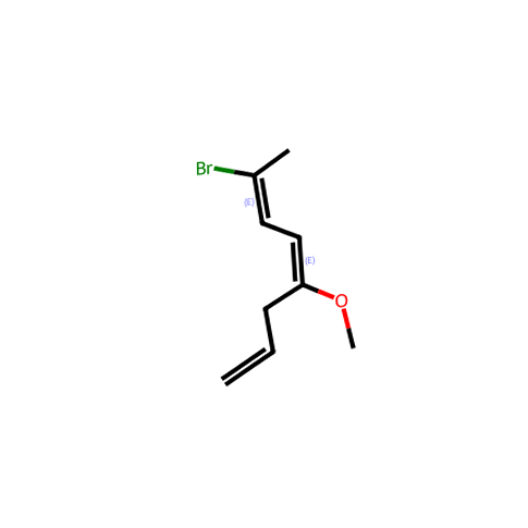 C=CC/C(=C\C=C(/C)Br)OC